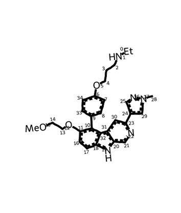 CCNCCCOc1ccc(-c2c(OCCOC)ccc3[nH]c4cnc(-c5cnn(C)c5)cc4c23)cc1